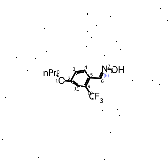 CCCOc1ccc(/C=N/O)c(C(F)(F)F)c1